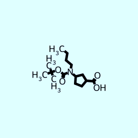 CCCCN(C(=O)OC(C)(C)C)C1CCC(C(=O)O)C1